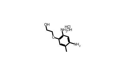 Cc1cc(OCCO)c(N)cc1N.Cl.Cl